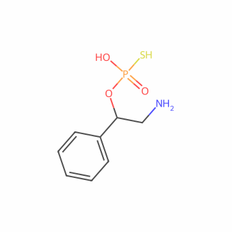 NCC(OP(=O)(O)S)c1ccccc1